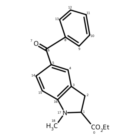 CCOC(=O)C1Cc2cc(C(=O)c3ccccc3)ccc2N1C